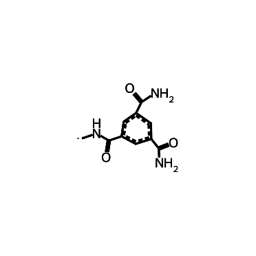 [CH2]NC(=O)c1cc(C(N)=O)cc(C(N)=O)c1